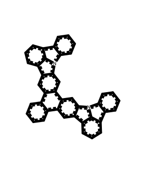 c1ccc2c(c1)c1cc3c4cccc5c6ccccc6n(c3cc1c1cc3c(cc21)c1cccc2c6ccccc6n3c21)c54